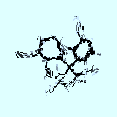 C=C(CCCCCC)C(OP(O)O)(c1cccc(C(C)(C)C)c1C(C)(C)C)c1cccc(C(C)(C)C)c1C(C)(C)C